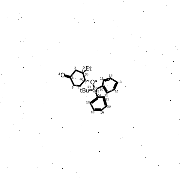 CC[C@@H]1CC(=O)CC[C@H]1O[Si](c1ccccc1)(c1ccccc1)C(C)(C)C